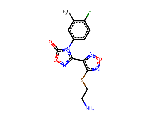 NCCSc1nonc1-c1noc(=O)n1-c1ccc(F)c(C(F)(F)F)c1